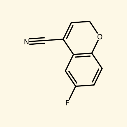 N#CC1=CCOc2ccc(F)cc21